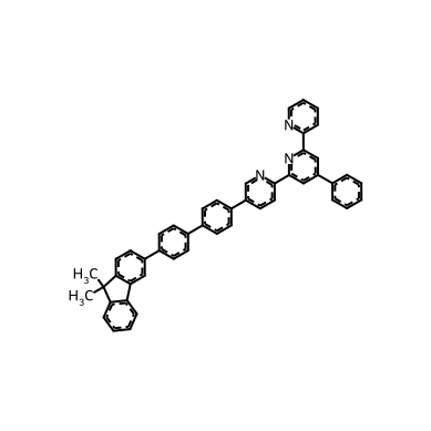 CC1(C)c2ccccc2-c2cc(-c3ccc(-c4ccc(-c5ccc(-c6cc(-c7ccccc7)cc(-c7ccccn7)n6)nc5)cc4)cc3)ccc21